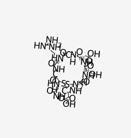 CC(NC1SSC(NCC(N)=O)C(=O)CNC(=O)[C@H](CCCNC(=N)N)NC(=O)CNC(=O)[C@H](CC(=O)O)NC(=O)[C@H](CO)NC(=O)[C@@H]2CCCN12)C(=O)C(=O)O